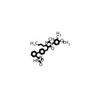 CCCCc1nc(C)n(-c2ccc(OC)c(C)c2)c(=O)c1Cc1ccc(-c2ccccc2-c2noc(=O)[nH]2)cc1